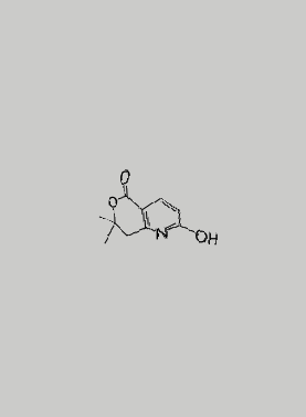 CC1(C)Cc2nc(O)ccc2C(=O)O1